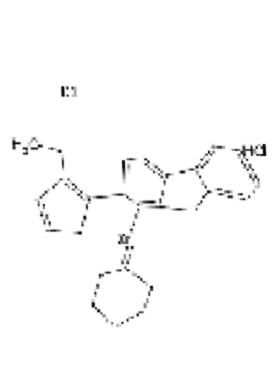 CCC1=C(c2ccc3c([c]2[Zr]=[C]2CCCCC2)Cc2ccccc2-3)CC=C1.Cl.Cl